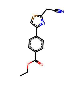 CCOC(=O)c1ccc(-c2csc(CC#N)n2)cc1